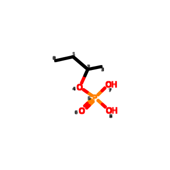 CCC(C)OP(=O)(O)O